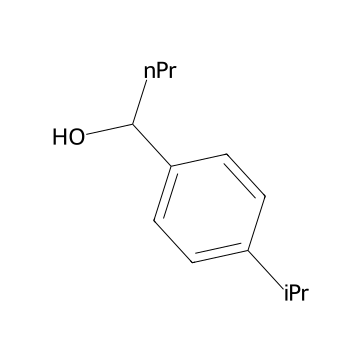 CCCC(O)c1ccc(C(C)C)cc1